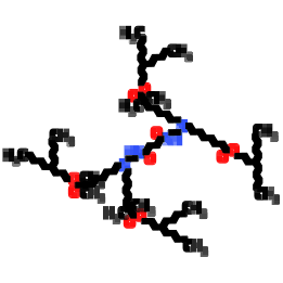 CCCCCC(CCCCC)CCCOC(=O)CCCCCCCN(CCCCCCC(C)(C)C(=O)OCCCC(CCCCC)CCCCC)CCNC(=O)CCC(=O)NCCN(CCCCCCC(C)(C)C(=O)OCCCC(CCCCC)CCCCC)CCCCCCC(C)(C)C(=O)OCCCC(CCCCC)CCCCC